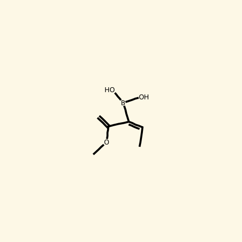 C=C(OC)/C(=C\C)B(O)O